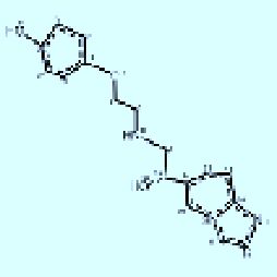 Oc1ccc(OCCNC[C@@H](O)c2ccc3nnnn3c2)cc1